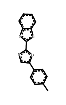 Cc1ccc(-c2cnc(-c3nc4ccccc4s3)o2)cc1